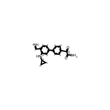 N=Cc1ccc(-c2ccc(C(=O)C(N)=O)cc2)cc1NC1CC1